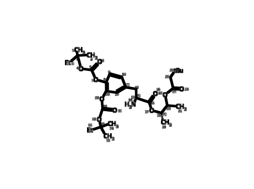 CCC(C)(C)OC(=O)Oc1ccc(C[C@H](N)C(=O)O[C@@H](C)C(C)OC(=O)CC(C)(C)C)cc1OC(=O)OC(C)(C)CC